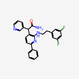 NC(=O)C(c1cccnc1)c1ccc(-c2ccccc2)nc1NCCc1cc(F)cc(F)c1